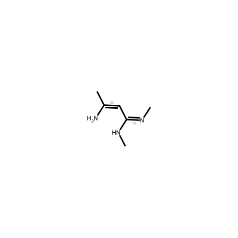 C/N=C(\C=C(\C)N)NC